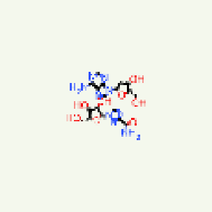 NC(=O)c1ncn([C@@H]2O[C@H](CO)[C@@H](O)[C@H]2O)n1.Nc1ncnc2c1ncn2[C@H]1C[C@H](O)[C@@H](CO)O1